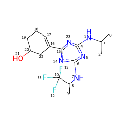 CC(C)Nc1nc(NC(C)C(F)(F)F)nc(C2=CCCC(O)C2)n1